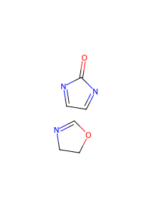 C1=NCCO1.O=C1N=CC=N1